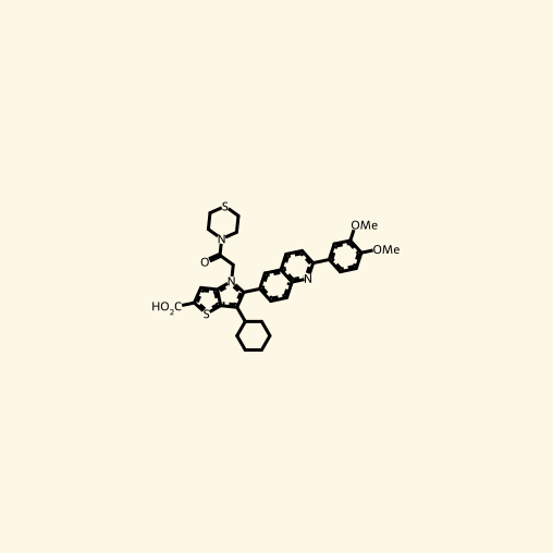 COc1ccc(-c2ccc3cc(-c4c(C5CCCCC5)c5sc(C(=O)O)cc5n4CC(=O)N4CCSCC4)ccc3n2)cc1OC